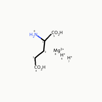 NC(CCC(=O)O)C(=O)O.[H+].[H+].[Mg+2]